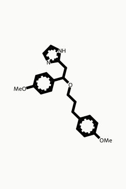 COc1ccc(CCCOC(Cc2ncc[nH]2)c2ccc(OC)cc2)cc1